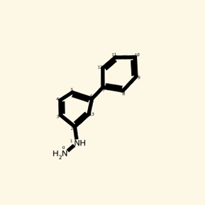 NNc1cccc(-c2ccccc2)c1